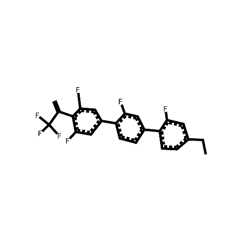 C=C(c1c(F)cc(-c2ccc(-c3ccc(CC)cc3F)cc2F)cc1F)C(F)(F)F